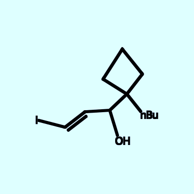 CCCCC1(C(O)C=CI)CCC1